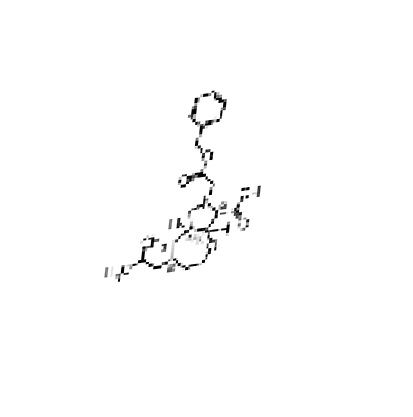 CC(C)C[C@@H]1CCO[C@@H]2[C@@H](C1)CN(CC(=O)OCc1ccccc1)[C@@H]2C(=O)O